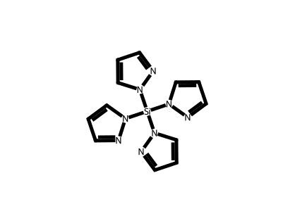 c1cnn([Si](n2cccn2)(n2cccn2)n2cccn2)c1